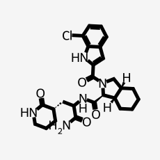 NC(=O)C(C[C@@H]1CCCNC1=O)NC(=O)[C@@H]1[C@H]2CCCC[C@H]2CN1C(=O)c1cc2cccc(Cl)c2[nH]1